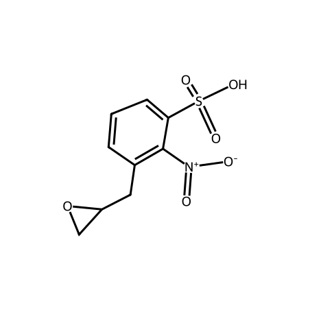 O=[N+]([O-])c1c(CC2CO2)cccc1S(=O)(=O)O